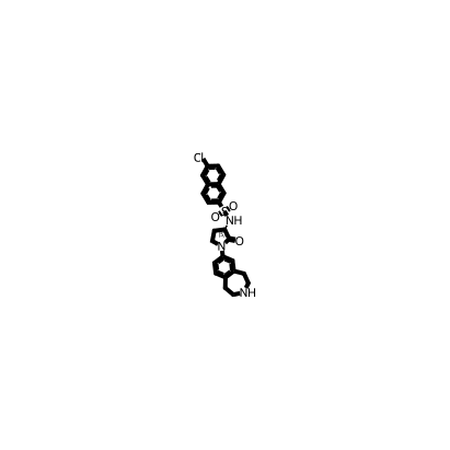 O=C1[C@@H](NS(=O)(=O)c2ccc3cc(Cl)ccc3c2)CCN1c1ccc2c(c1)CCNCC2